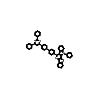 c1ccc(-c2cc(-c3ccc(-c4ccc(-c5nc6c7ccccc7sc6c6c5c5ccccc5n6-c5ccccc5)cc4)cc3)nc(-c3ccccc3)n2)cc1